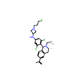 C=C(C)c1ccc2c(c1)C[C@@H](C)N(CC(F)(F)F)C2c1c(F)cc(NC2CN(CCCF)C2)cc1F